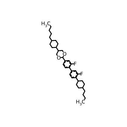 CCCCCC1CCC(C2COC(c3ccc(-c4ccc(C5CCC(CCCC)CC5)c(F)c4)c(F)c3)OC2)CC1